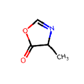 CC1N=COC1=O